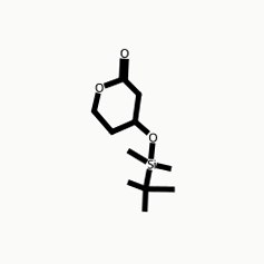 CC(C)(C)[Si](C)(C)OC1CCOC(=O)C1